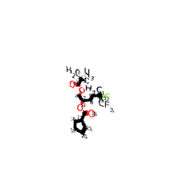 C=C(C)C(=O)OCC(CCC(C)(F)C(F)(F)F)OC(=O)C1CCCC1